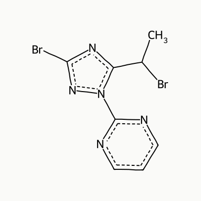 CC(Br)c1nc(Br)nn1-c1ncccn1